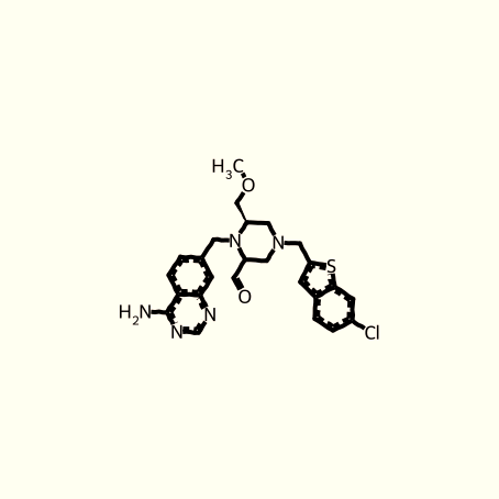 COC[C@H]1CN(Cc2cc3ccc(Cl)cc3s2)CC(C=O)N1Cc1ccc2c(N)ncnc2c1